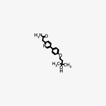 CC(C)(O)CCOc1ccc(-c2ccc(CC(N)=O)nc2)cc1